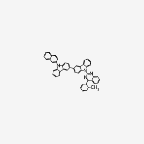 CC1C=CC=CC1c1nc(-n2c3ccccc3c3cc(-c4ccc5c(c4)c4ccccc4n5-c4ccc5ccccc5c4)ccc32)nc2ccccc12